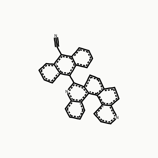 N#Cc1c2ccccc2c(-c2nc3ccccc3c3c2ccc2ccc4ncccc4c23)c2ccccc12